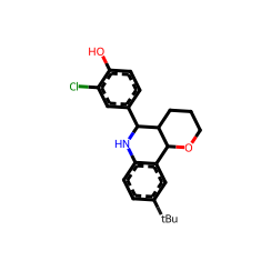 CC(C)(C)c1ccc2c(c1)C1OCCCC1C(c1ccc(O)c(Cl)c1)N2